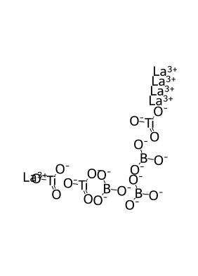 [La+3].[La+3].[La+3].[La+3].[La+3].[O-]B([O-])[O-].[O-]B([O-])[O-].[O-]B([O-])[O-].[O]=[Ti]([O-])[O-].[O]=[Ti]([O-])[O-].[O]=[Ti]([O-])[O-]